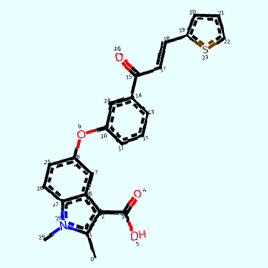 Cc1c(C(=O)O)c2cc(Oc3cccc(C(=O)C=Cc4cccs4)c3)ccc2n1C